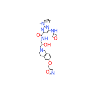 CCCN(C)c1nc(NC2COC2)cc(C(=O)NCC(O)CN2CCc3cc(OCc4cnco4)ccc3C2)n1